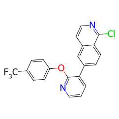 FC(F)(F)c1ccc(Oc2ncccc2-c2ccc3c(Cl)nccc3c2)cc1